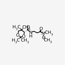 CON(C)C(=O)CCNC(=O)[C@@H]1OC(C)(C)OCC1(C)C